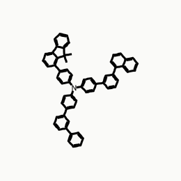 CC1(C)c2ccccc2-c2cccc(-c3ccc(N(c4ccc(-c5cccc(-c6ccccc6)c5)cc4)c4ccc(-c5cccc(-c6cccc7ccccc67)c5)cc4)cc3)c21